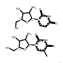 Cc1cn([C@H]2O[C@@H](CO)C(O)C2N)c(=O)[nH]c1=O.NC1C(O)[C@H](CO)O[C@@H]1n1ccc(=O)[nH]c1=O